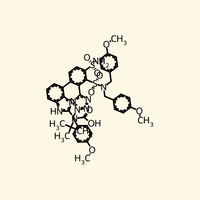 COc1ccc(CN(Cc2ccc(OC)cc2)S(=O)(=O)c2c(S(N)(=O)=O)ccc(-c3cccc4[nH]c(N(C(=O)O)C(C)(C)C)nc34)c2-c2nnn(Cc3ccc(OC)cc3)n2)cc1